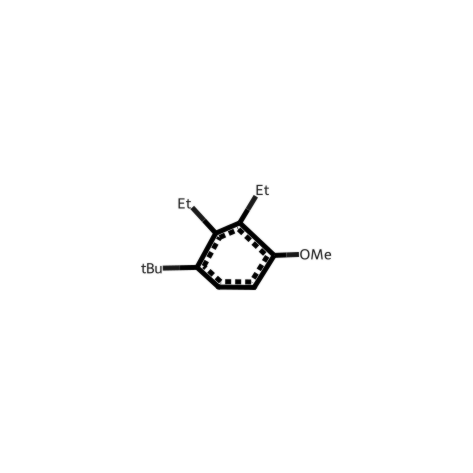 CCc1c(OC)ccc(C(C)(C)C)c1CC